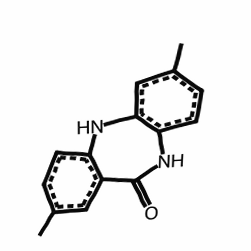 Cc1ccc2c(c1)Nc1ccc(C)cc1C(=O)N2